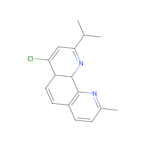 Cc1ccc2c(n1)C1N=C(C(C)C)C=C(Cl)C1C=C2